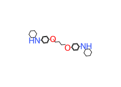 c1cc(OCCCCOc2ccc(NC3CCCCC3)cc2)ccc1NC1CCCCC1